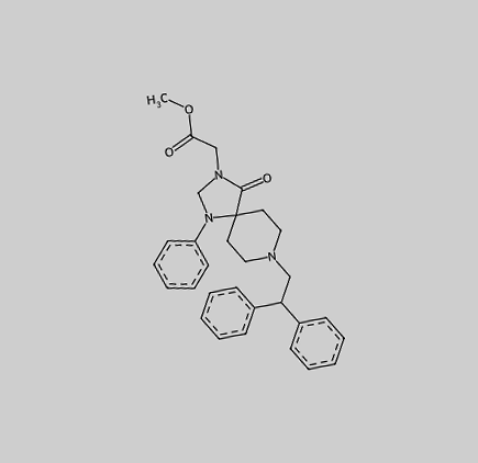 COC(=O)CN1CN(c2ccccc2)C2(CCN(CC(c3ccccc3)c3ccccc3)CC2)C1=O